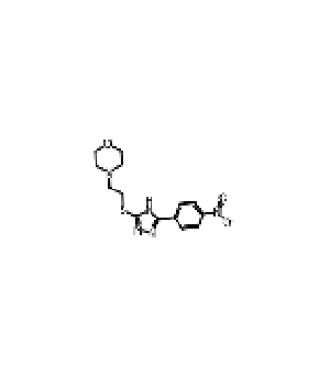 O=[N+]([O-])c1ccc(-c2nnc(SCCN3CCOCC3)[nH]2)cc1